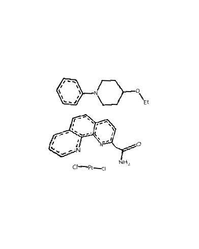 CCOC1CCN(c2ccccc2)CC1.NC(=O)c1ccc2ccc3cccnc3c2n1.[Cl][Pt][Cl]